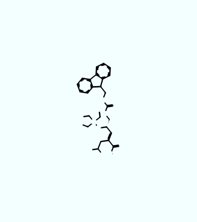 CC[Si](CC)(CC)O[C@H](C=C(CC(C)C)C(=O)O)CNC(=O)OCC1c2ccccc2-c2ccccc21